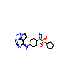 CN(c1ncnc2[nH]ccc12)C1CCC(NS(=O)(=O)C2CCCC2)CC1